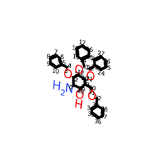 N[C@@H]1[C@H](OCc2ccccc2)[C@@H](OCc2ccccc2)[C@H](OCc2ccccc2)C(COCc2ccccc2)[C@@H]1O